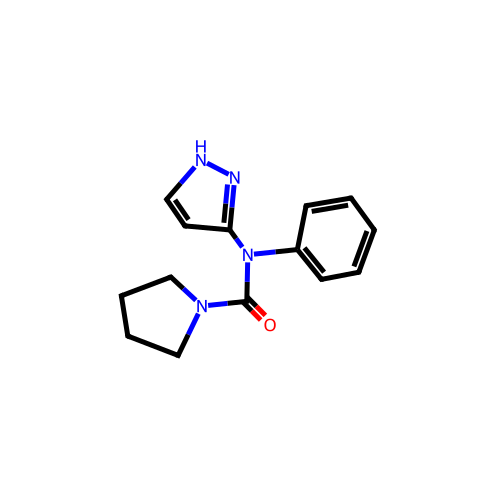 O=C(N1CCCC1)N(c1ccccc1)c1cc[nH]n1